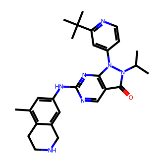 Cc1cc(Nc2ncc3c(=O)n(C(C)C)n(-c4ccnc(C(C)(C)C)c4)c3n2)cc2c1CCNC2